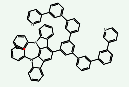 c1ccc(-n2c3ccccc3c3cc(-c4cc(-c5cccc(-c6cccc(-c7cccnc7)c6)c5)cc(-c5cccc(-c6cccc(-c7cccnc7)c6)c5)c4)c4c5ccccc5n(-c5ccccc5)c4c32)cc1